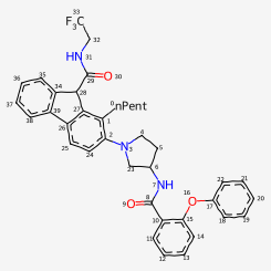 CCCCCc1c(N2CCC(NC(=O)c3ccccc3Oc3ccccc3)C2)ccc2c1C(C(=O)NCC(F)(F)F)c1ccccc1-2